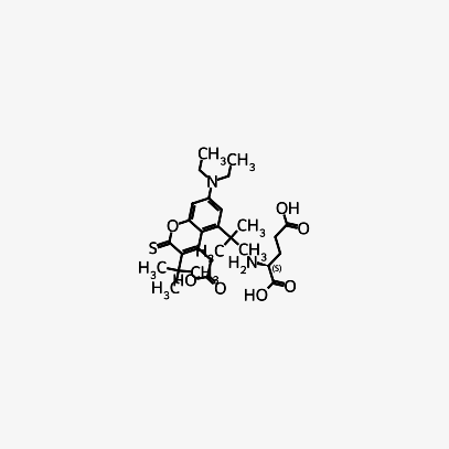 CCN(CC)c1cc(C(C)(C)C)c2c(CC(=O)O)c(C(C)(C)C)c(=S)oc2c1.N[C@@H](CCC(=O)O)C(=O)O